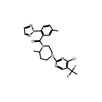 Cc1ccc(-n2nccn2)c(C(=O)N2CCN(c3ncc(C(F)(F)F)c(Cl)n3)CCC2C)c1